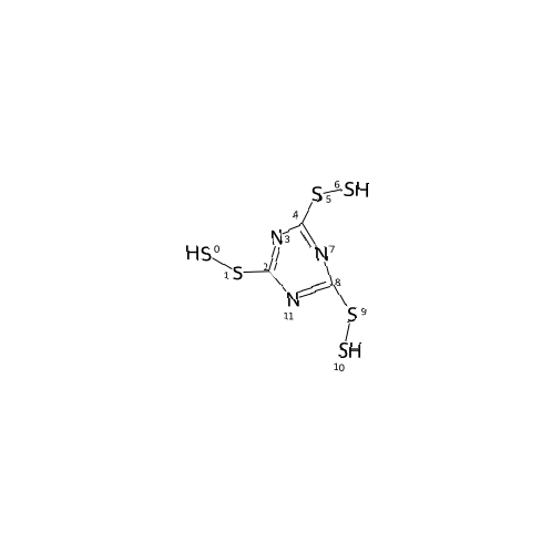 SSc1nc(SS)nc(SS)n1